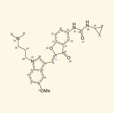 COc1ccc2c(c1)c(/C=C1\Oc3ccc(NC(=O)NC4CC4)cc3C1=O)cn2CCCN(C)C